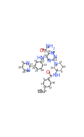 CC(C)(C)c1ccc(C(=O)N[C@@H]2CCCN(c3nnc(C(N)=O)c(Nc4cccc(-c5ncccn5)c4)n3)C2)cc1